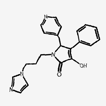 O=C1C(O)=C(c2ccccc2)C(c2ccncc2)N1CCCn1ccnc1